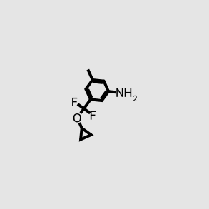 Cc1cc(N)cc(C(F)(F)OC2CC2)c1